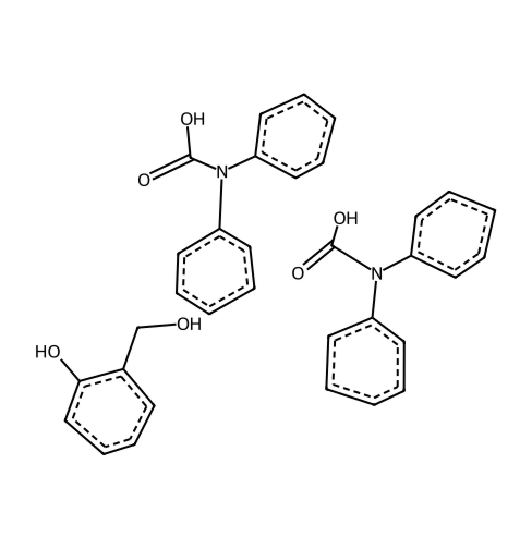 O=C(O)N(c1ccccc1)c1ccccc1.O=C(O)N(c1ccccc1)c1ccccc1.OCc1ccccc1O